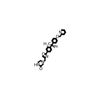 CC(C)C(C)(c1ccc(OCc2ccccn2)cc1)c1ccc(-c2nc(CN3CCNC(=O)C3)co2)cc1